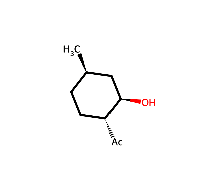 CC(=O)[C@@H]1CC[C@@H](C)C[C@H]1O